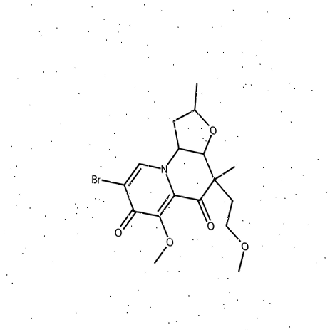 COCCC1(C)C(=O)c2c(OC)c(=O)c(Br)cn2C2CC(C)OC21